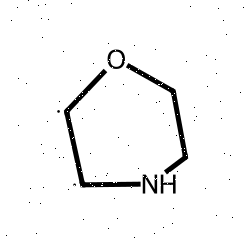 [CH]1[CH]OCCN1